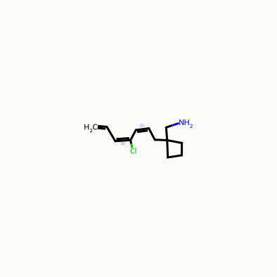 C=C/C=C(Cl)\C=C/CC1(CN)CCC1